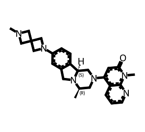 C[C@@H]1CN(c2cc(=O)n(C)c3ncccc23)C[C@@H]2c3ccc(N4CC5(CN(C)C5)C4)cc3CN12